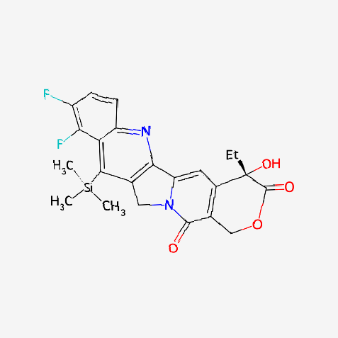 CC[C@@]1(O)C(=O)OCc2c1cc1n(c2=O)Cc2c-1nc1ccc(F)c(F)c1c2[Si](C)(C)C